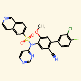 COc1cc(-c2ccc(F)c(Cl)c2)c(C#N)cc1N(c1ccncn1)S(=O)(=O)c1ccc2cnccc2c1